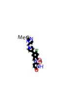 COc1nccc(CN2CCC(c3cc4c(cc3F)C(=O)N(C3CCC(=O)NC3=O)C4)CC2)n1